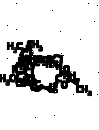 CCn1c(-c2cc(N3CCN(C)[C@@H](C)C3)cnc2[C@H](C)OC)c2c3cc(ccc31)-c1csc(n1)C[C@H](NC(=O)[C@H]1C[C@@H]1C)C(=O)N1CCC[C@@](C(=O)O)(COCC(C)(C)C2)N1